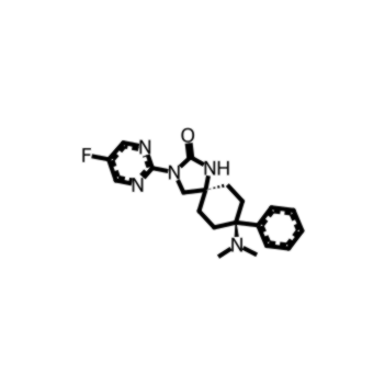 CN(C)[C@]1(c2ccccc2)CC[C@]2(CC1)CN(c1ncc(F)cn1)C(=O)N2